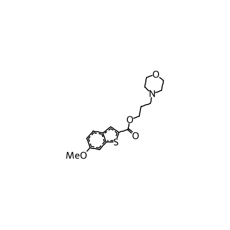 COc1ccc2cc(C(=O)OCCCN3CCOCC3)sc2c1